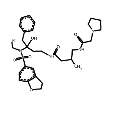 CC(C)CN(C(O)(CCNC(=O)CC(C)CNC(=O)CN1CCCC1)Cc1ccccc1)S(=O)(=O)c1ccc2c(c1)CCO2